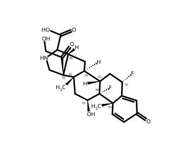 C[C@]12C=CC(=O)C=C1[C@@H](F)C[C@H]1[C@@H]3C[C@H]4C(C(=O)O)NC[C@@]4(C(=O)CO)[C@@]3(C)C[C@H](O)[C@@]12F